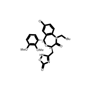 COc1cccc([C@H]2O[C@H](Cc3nc(=O)o[nH]3)C(=O)N(CC(C)(C)C)c3ccc(Cl)cc32)c1OC